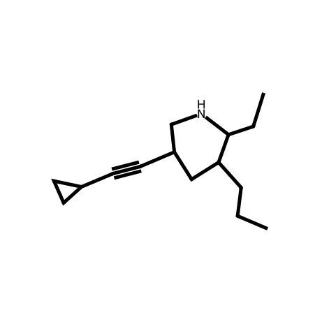 CCCC1CC(C#CC2CC2)CNC1CC